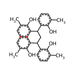 Cc1cccc(C(CC(c2cccc(C)c2O)c2cccc(C)c2O)c2cccc(C)c2O)c1O